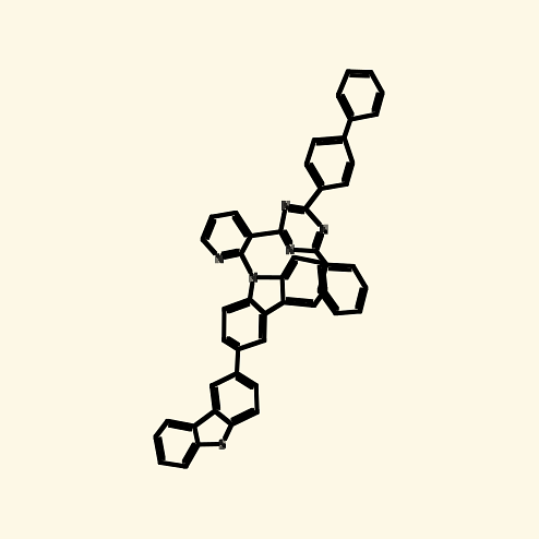 c1ccc(-c2ccc(-c3nc(-c4ccccc4)nc(-c4cccnc4-n4c5ccccc5c5cc(-c6ccc7sc8ccccc8c7c6)ccc54)n3)cc2)cc1